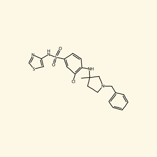 CC1(Nc2ccc(S(=O)(=O)Nc3cscn3)cc2Cl)CCN(Cc2ccccc2)C1